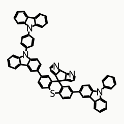 c1ccc(-n2c3ccccc3c3cc(-c4ccc5c(c4)C4(c6cc(-c7ccc8c(c7)c7ccccc7n8-c7ccc(-n8c9ccccc9c9ccccc98)cc7)ccc6S5)c5cccnc5-c5ncccc54)ccc32)cc1